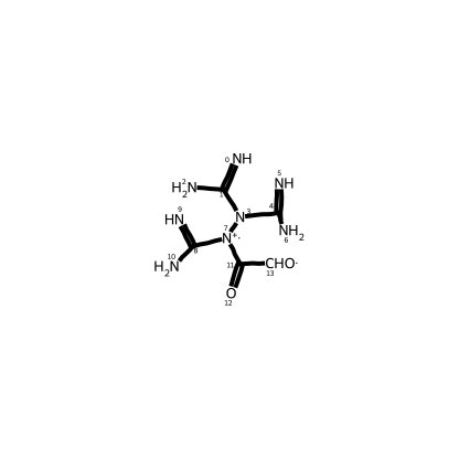 N=C(N)N(C(=N)N)[N+](C(=N)N)C(=O)[C]=O